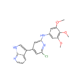 COc1cc(Nc2cc(-c3c[nH]c4ncccc34)cc(Cl)n2)cc(OC)c1OC